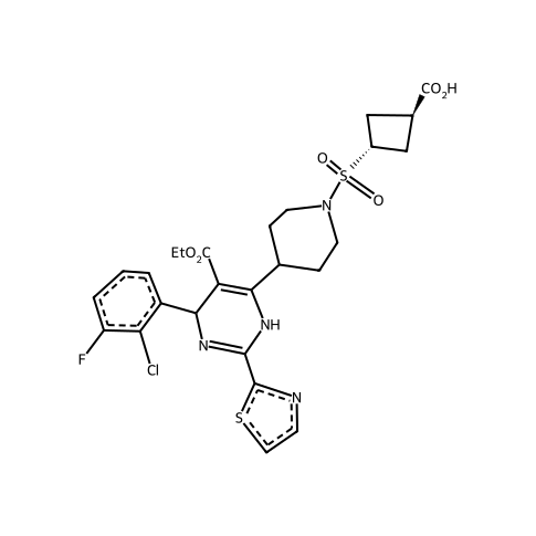 CCOC(=O)C1=C(C2CCN(S(=O)(=O)[C@H]3C[C@H](C(=O)O)C3)CC2)NC(c2nccs2)=NC1c1cccc(F)c1Cl